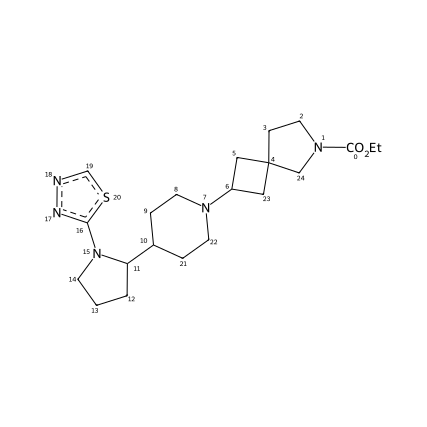 CCOC(=O)N1CCC2(CC(N3CCC(C4CCCN4c4nncs4)CC3)C2)C1